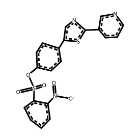 O=[N+]([O-])c1ccccc1S(=O)(=O)Oc1ccc(-c2cnc(-c3cccnc3)s2)cc1